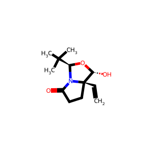 C=C[C@@]12CCC(=O)N1[C@@H](C(C)(C)C)O[C@@H]2O